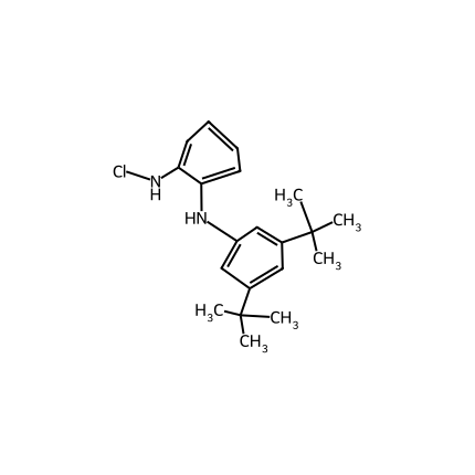 CC(C)(C)c1cc(Nc2ccccc2NCl)cc(C(C)(C)C)c1